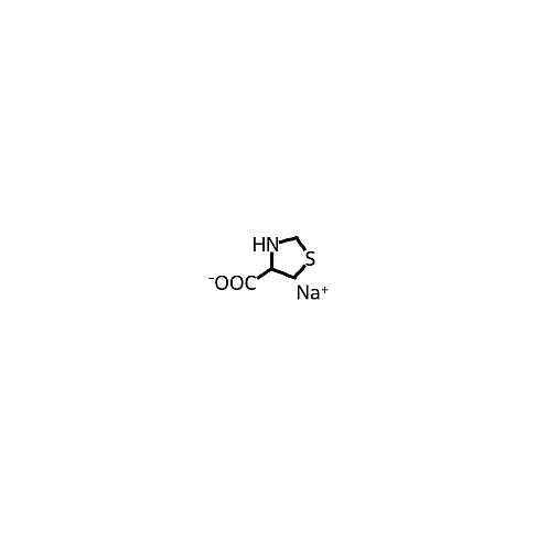 O=C([O-])C1CSCN1.[Na+]